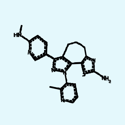 CNc1ccc(-c2nn(-c3cccnc3C)c3c2CCCc2nc(N)sc2-3)cn1